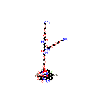 CC[C@@]1(OC(=O)[C@@H](NC(=O)[C@@H]2CCCN2C(=O)[C@H](CC(=O)O)NC(=O)CCOCCOCCOCCNC(=O)[C@H](CCCCNC(=O)CCOCCOCCOCCN)NC(=O)CCOCCOCCOCCN)C(C)C)C(=O)OCc2c1cc1n(c2=O)Cc2c-1nc1cc(F)c(C)c3c1c2[C@@H](N)CC3